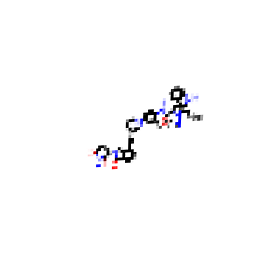 COc1cc(N2CCC[C@@H](C#Cc3cccc4c3CN([C@@H]3CCC(=O)NC3=O)C4=O)C2)ccc1NC(=O)C1CC2(CNc3ccccc32)C(CC(C)(C)C)N1